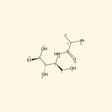 CC[C@@H](O)[C@@H](O)[C@H](CO)NC(=O)C(C)C(C)C